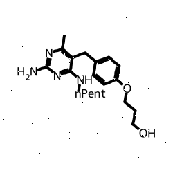 CCCCCNc1nc(N)nc(C)c1Cc1ccc(OCCCO)cc1